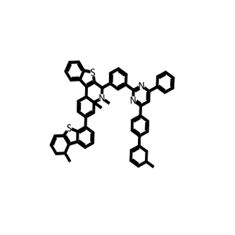 CC1C=CC=C(c2ccc(-c3cc(-c4ccccc4)nc(-c4cccc(C5c6sc7ccccc7c6C6C=CC(c7cccc8c9c(sc78)C=CCC9C)=CC6(C)N5C)c4)n3)cc2)C1